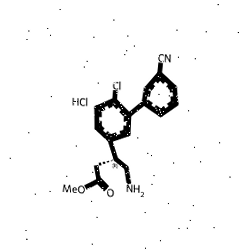 COC(=O)C[C@@H](CN)c1ccc(Cl)c(-c2cccc(C#N)c2)c1.Cl